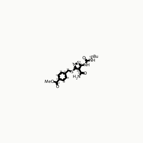 CCCCNC(=O)Nc1snc(SCc2ccc(C(=O)OC)cc2)c1C(N)=O